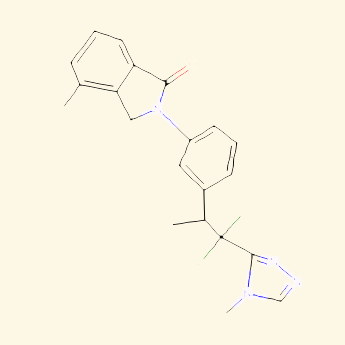 CC(c1cccc(N2Cc3c(cccc3C(F)(F)F)C2=O)c1)C(F)(F)c1nncn1C